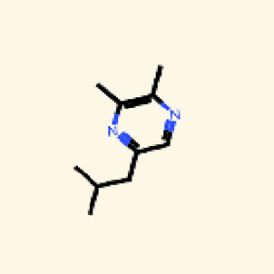 Cc1ncc(CC(C)C)nc1C